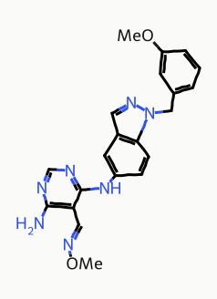 CON=Cc1c(N)ncnc1Nc1ccc2c(cnn2Cc2cccc(OC)c2)c1